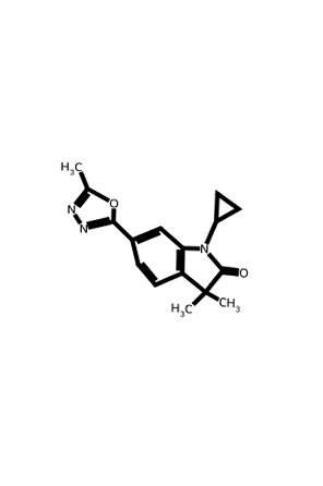 Cc1nnc(-c2ccc3c(c2)N(C2CC2)C(=O)C3(C)C)o1